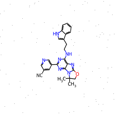 CC1(C)COc2nc3c(NCCc4c[nH]c5ccccc45)nc(-c4cncc(C#N)c4)nc3n21